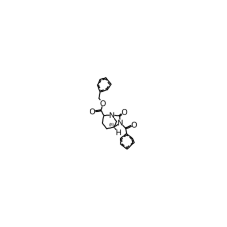 O=C(OCc1ccccc1)C1CC[C@@H]2CN1C(=O)N2C(=O)c1ccccc1